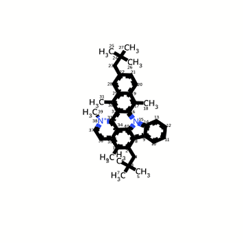 Cc1c(CC(C)(C)C)c2c3ccccc3n3c4c(C)c5ccc(CC(C)(C)C)cc5c(C)c4c4c(c1cc[n+]4C)c23